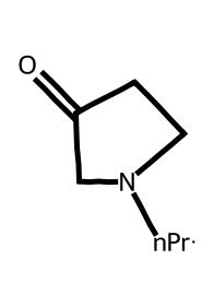 CC[CH]N1CCC(=O)C1